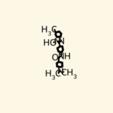 Cc1ccc2nc(-c3ccc(NC(=O)c4ccc(N(C)C)cc4)cc3)n(O)c2c1